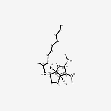 CCCCCCCCC(C)O[C@H]1CO[C@H]2[C@H](OC)[C@H](OC)O[C@H]21